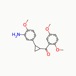 COc1ccc(OC)c(C(=O)C2CC2c2ccc(OC)c(N)c2)c1